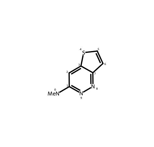 CNc1cc2sccc2nn1